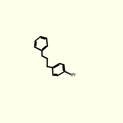 CC(C)c1ccc(CCCc2ccccc2)cc1